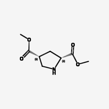 COC(=O)[C@H]1CN[C@@H](C(=O)OC)C1